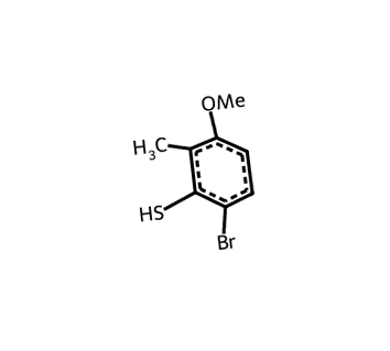 COc1ccc(Br)c(S)c1C